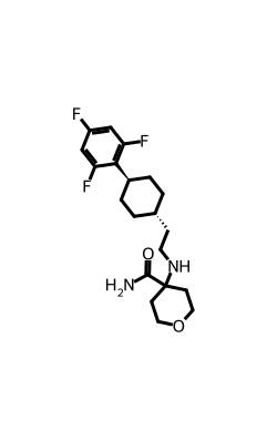 NC(=O)C1(NCC[C@H]2CC[C@H](c3c(F)cc(F)cc3F)CC2)CCOCC1